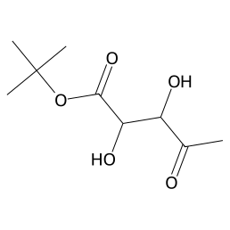 CC(=O)C(O)C(O)C(=O)OC(C)(C)C